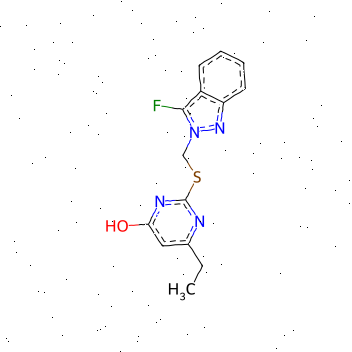 CCc1cc(O)nc(SCn2nc3ccccc3c2F)n1